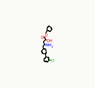 N[C@H](Cc1ccc(-c2cccc(Cl)c2)cc1)CC(O)C(=O)OCc1ccccc1